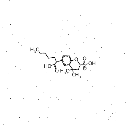 CCCCCC(C(=O)O)c1ccc2c(c1)C(C)(C)CC(S(=O)(=O)O)O2